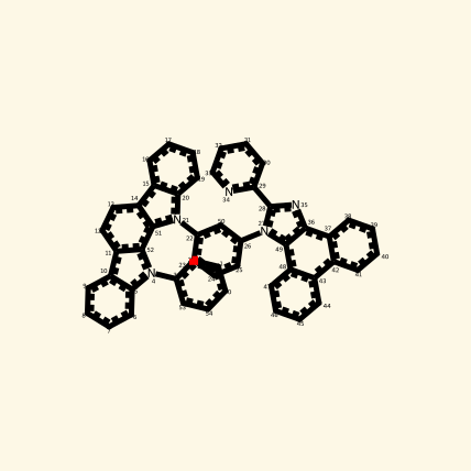 c1ccc(-n2c3ccccc3c3ccc4c5ccccc5n(-c5cccc(-n6c(-c7ccccn7)nc7c8ccccc8c8ccccc8c76)c5)c4c32)cc1